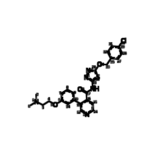 CN(C)CCOc1cccc(-c2cnccc2C(=O)Nc2nnc(OCc3ccc(Cl)cc3)s2)c1